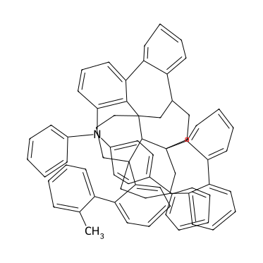 Cc1ccccc1-c1ccccc1C12CCCC34CC(CCC5(CC(CC1)c1ccccc1-c1ccccc15)C23)c1ccccc1-c1cccc(N(c2ccccc2)c2ccc(-c3ccccc3)cc2)c14